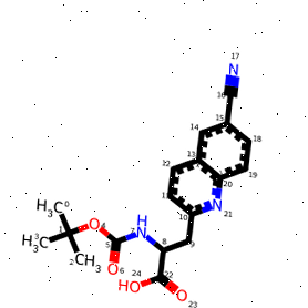 CC(C)(C)OC(=O)NC(Cc1ccc2cc(C#N)ccc2n1)C(=O)O